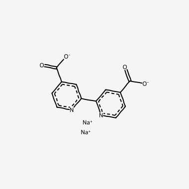 O=C([O-])c1ccnc(-c2cc(C(=O)[O-])ccn2)c1.[Na+].[Na+]